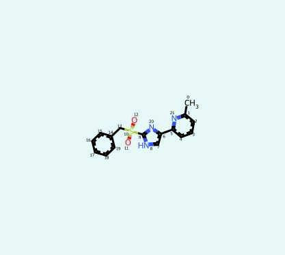 Cc1cccc(-c2c[nH]c(S(=O)(=O)Cc3ccccc3)n2)n1